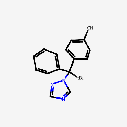 CC(C)(C)C(c1ccccc1)(c1ccc(C#N)cc1)n1cncn1